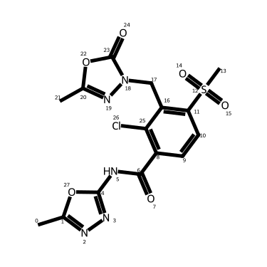 Cc1nnc(NC(=O)c2ccc(S(C)(=O)=O)c(Cn3nc(C)oc3=O)c2Cl)o1